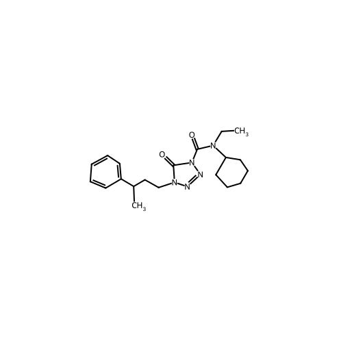 CCN(C(=O)n1nnn(CCC(C)c2ccccc2)c1=O)C1CCCCC1